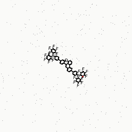 Fc1c(F)c(F)c(B(c2ccc(-c3ccc4c(c3)Oc3cccc5c3c-4cc3ccc(-c4ccc(B(c6c(F)c(F)c(F)c(F)c6F)c6c(F)c(F)c(F)c(F)c6F)cc4)cc35)cc2)c2c(F)c(F)c(F)c(F)c2F)c(F)c1F